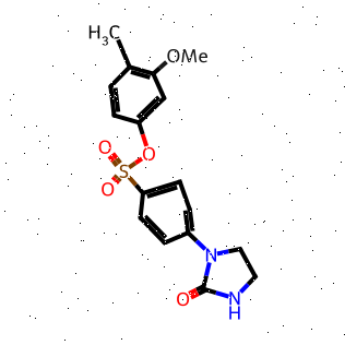 COc1cc(OS(=O)(=O)c2ccc(N3CCNC3=O)cc2)ccc1C